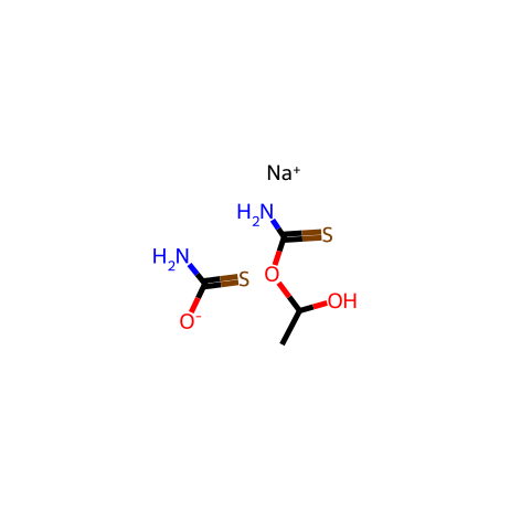 CC(O)OC(N)=S.NC([O-])=S.[Na+]